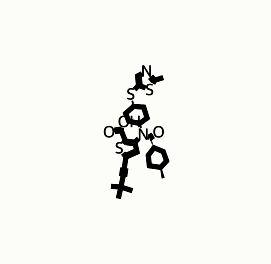 Cc1ncc(S[C@H]2CC[C@@H](N(c3cc(C#CC(C)(C)C)sc3C(=O)O)C(=O)[C@H]3CC[C@H](C)CC3)CC2)s1